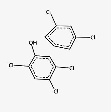 Clc1cccc(Cl)c1.Oc1cc(Cl)c(Cl)cc1Cl